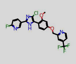 COc1cc(OCc2cc(C(F)(F)F)ccn2)ccc1-c1[nH]c(-c2ccc(F)nc2)nc1Cl